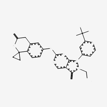 CCn1c(=O)c2cnc(Nc3ccc4c(c3)CC(=O)NC43CC3)nc2n1-c1ccnc(C(C)(C)C)c1